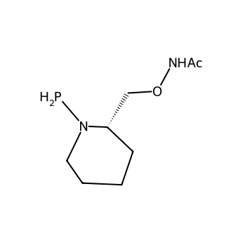 CC(=O)NOC[C@@H]1CCCCN1P